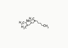 CCCCC[C@H](C)CCC[C@H](C)C(C)N